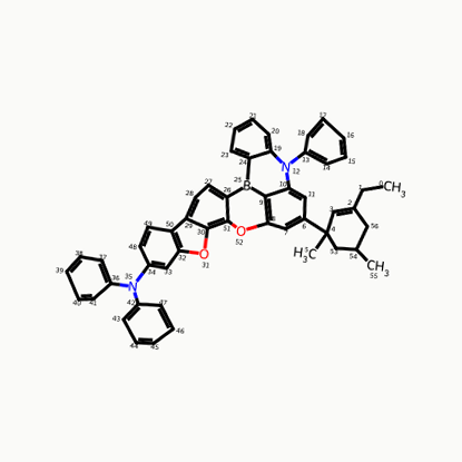 CCC1=CC(C)(c2cc3c4c(c2)N(c2ccccc2)c2ccccc2B4c2ccc4c(oc5cc(N(c6ccccc6)c6ccccc6)ccc54)c2O3)CC(C)C1